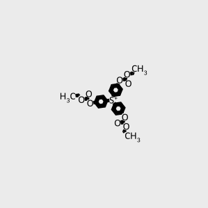 CCOC(=O)Oc1ccc([S+](c2ccc(OC(=O)OCC)cc2)c2ccc(OC(=O)OCC)cc2)cc1